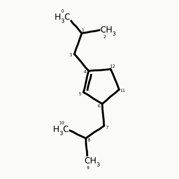 CC(C)CC1=CC(CC(C)C)CC1